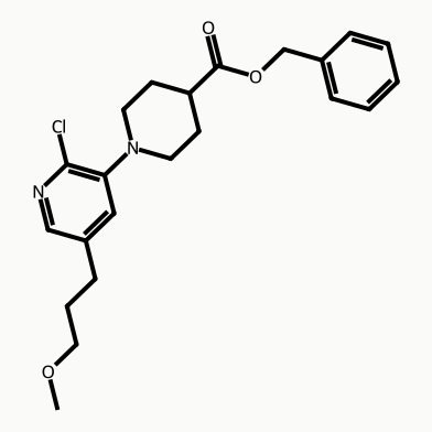 COCCCc1cnc(Cl)c(N2CCC(C(=O)OCc3ccccc3)CC2)c1